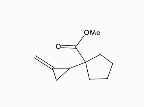 C=C1CC1C1(C(=O)OC)CCCC1